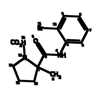 CC1(C(=O)Nc2ccccc2Br)CCCN1C(=O)O